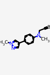 B#CCN(C)c1ccc(-c2cnn(C)c2)cc1